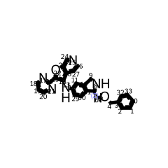 c1ccc(CO/N=C2\NCc3cc(Nc4c(-c5ncccn5)oc5cnccc45)ccc32)cc1